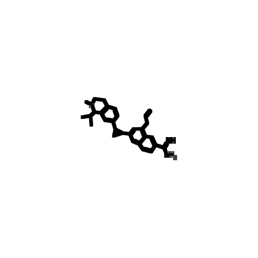 C=CCc1cc(C2CC2c2ccc3c(c2)C(C(C)C)N(C)CC3)cc2ccc(C(=N)N)cc12